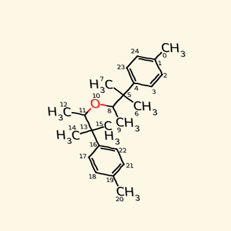 Cc1ccc(C(C)(C)C(C)OC(C)C(C)(C)c2ccc(C)cc2)cc1